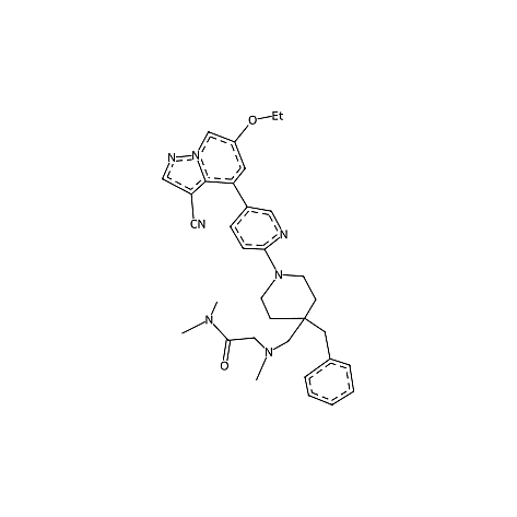 CCOc1cc(-c2ccc(N3CCC(Cc4ccccc4)(CN(C)CC(=O)N(C)C)CC3)nc2)c2c(C#N)cnn2c1